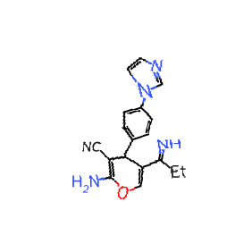 CCC(=N)C1=COC(N)=C(C#N)C1c1ccc(-n2ccnc2)cc1